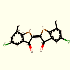 Cc1cc(Cl)cc2c1S/C(=C1\Sc3c(C)cc(Cl)cc3C1=O)C2=O